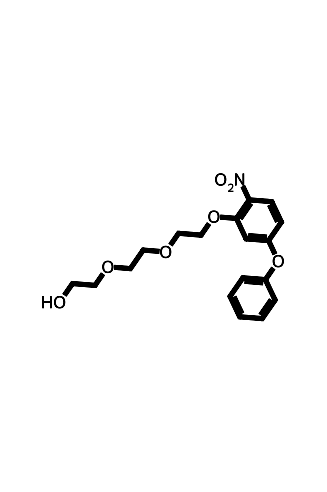 O=[N+]([O-])c1ccc(Oc2ccccc2)cc1OCCOCCOCCO